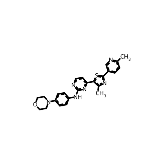 Cc1ccc(-c2nc(C)c(-c3ccnc(Nc4ccc(N5CCOCC5)cc4)n3)s2)cn1